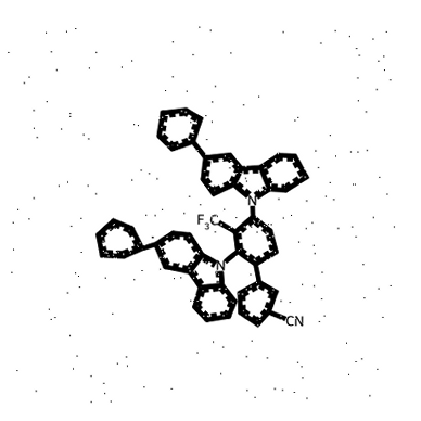 N#Cc1cccc(-c2ccc(-n3c4ccccc4c4cc(-c5ccccc5)ccc43)c(C(F)(F)F)c2-n2c3ccccc3c3cc(-c4ccccc4)ccc32)c1